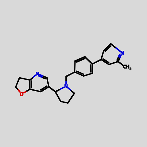 Cc1cc(-c2ccc(CN3CCCC3c3cnc4c(c3)OCC4)cc2)ccn1